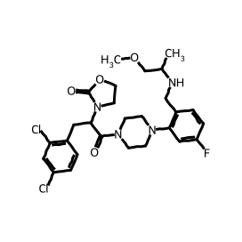 COCC(C)NCc1ccc(F)cc1N1CCN(C(=O)C(Cc2ccc(Cl)cc2Cl)N2CCOC2=O)CC1